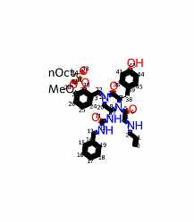 C=CCNCC(=O)N1[C@@H](NC(=O)NCc2ccccc2)CN(Cc2cccc(OC)c2OS(=O)(=O)CCCCCCCC)C(=O)[C@@H]1Cc1ccc(O)cc1